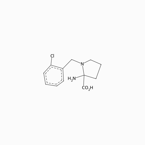 NC1(C(=O)O)CCCN1Cc1ccccc1Cl